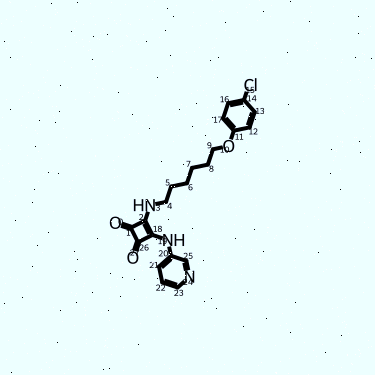 O=c1c(NCCCCCCOc2ccc(Cl)cc2)c(Nc2cccnc2)c1=O